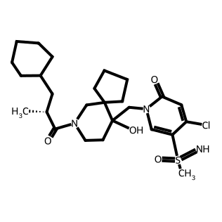 C[C@H](CC1CCCCC1)C(=O)N1CCC(O)(Cn2cc(S(C)(=N)=O)c(Cl)cc2=O)C2(CCCC2)C1